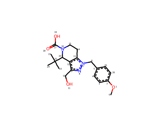 COc1ccc(Cn2nc(CO)c3c2CCN(C(=O)O)C3C(C)(C)C)cc1